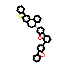 c1ccc2c(c1)-c1cc3c(cc1CC[C@H]2c1ccc2c(c1)oc1c(-c4ccc5c(c4)oc4ccccc45)cccc12)sc1ccccc13